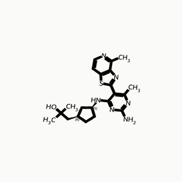 Cc1nc(N)nc(N[C@H]2CC[C@@H](CC(C)(C)O)C2)c1-c1nc2c(C)nccc2s1